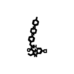 CCc1nc2cc(Cl)ccn2c1C(=O)NCc1ccc(N2CCN(C3=CCC(C)C=C3)CC2)cc1